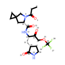 CCC(=O)N1CC2(CC2)C[C@H]1C(=O)N[C@@H](C[C@@H]1CCNC1=O)C(=O)COC(F)(F)F